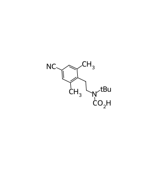 Cc1cc(C#N)cc(C)c1CCN(C(=O)O)C(C)(C)C